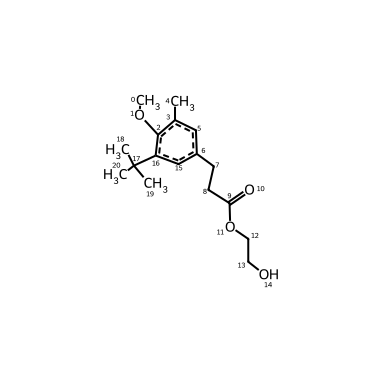 COc1c(C)cc(CCC(=O)OCCO)cc1C(C)(C)C